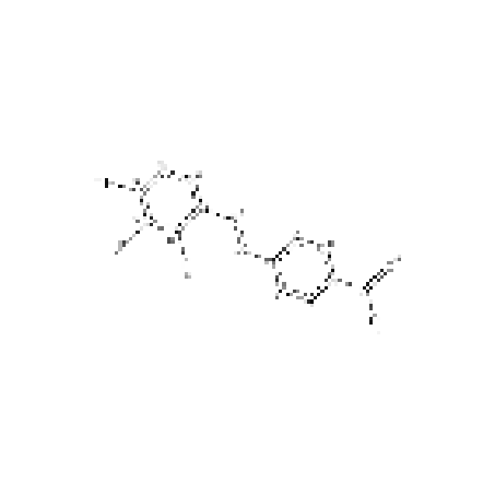 O=C(O)c1ccc(C=Nc2ccc(F)c(F)c2F)cc1